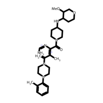 C=C(/C(C)=C(\N=C/N)C(=O)N1CCC(NC2CCOCC2OC)CC1)N1CCN(c2ccccc2C)CC1